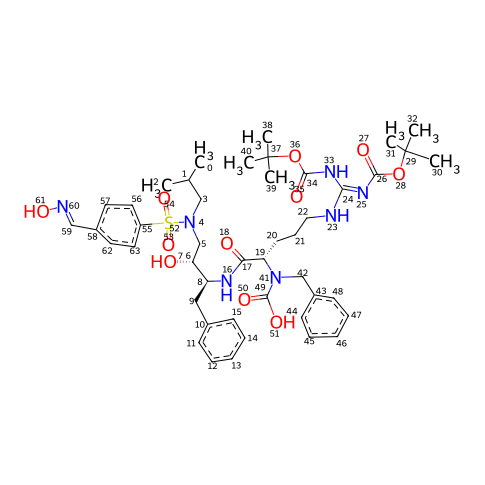 CC(C)CN(C[C@@H](O)[C@H](Cc1ccccc1)NC(=O)[C@H](CCCN/C(=N/C(=O)OC(C)(C)C)NC(=O)OC(C)(C)C)N(Cc1ccccc1)C(=O)O)S(=O)(=O)c1ccc(/C=N/O)cc1